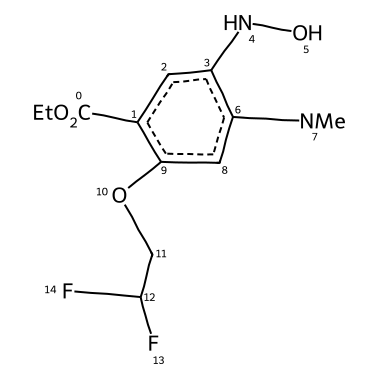 CCOC(=O)c1cc(NO)c(NC)cc1OCC(F)F